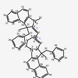 CC(C)CC[N+]1=C(/C=C/C=C2/N(C)c3ccc4ccccc4c3C2(C)Cc2ccccc2)C(C)(Cc2ccccc2)c2c1ccc1ccccc21